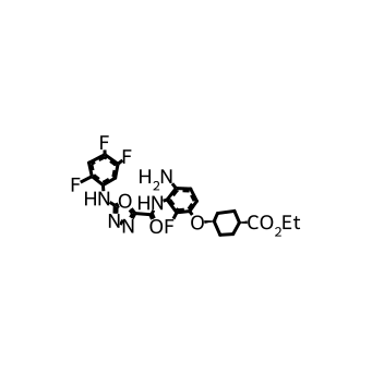 CCOC(=O)[C@H]1CC[C@@H](Oc2ccc(N)c(NC(=O)c3nnc(Nc4cc(F)c(F)cc4F)o3)c2F)CC1